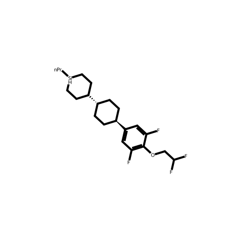 CCC[SiH]1CCC([C@H]2CC[C@H](c3cc(F)c(OCC(F)F)c(F)c3)CC2)CC1